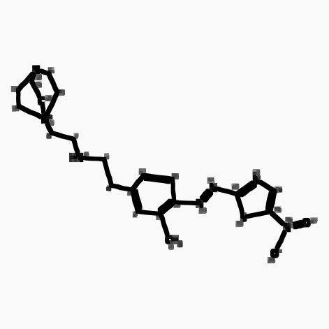 Cc1cc(CCNCC[N+]23CCN(CC2)CC3)ccc1N=Nc1ncc([N+](=O)[O-])s1